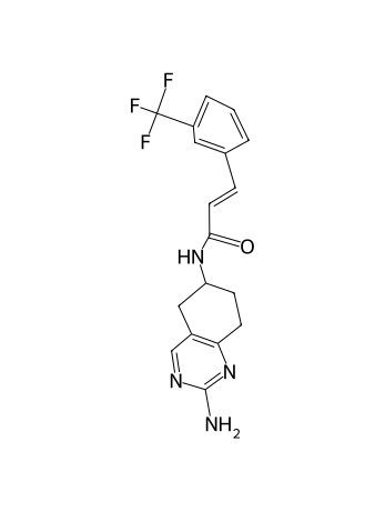 Nc1ncc2c(n1)CCC(NC(=O)C=Cc1cccc(C(F)(F)F)c1)C2